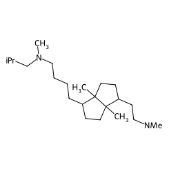 CNCCC1CCC2(C)C(CCCCN(C)CC(C)C)CCC12C